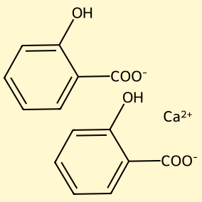 O=C([O-])c1ccccc1O.O=C([O-])c1ccccc1O.[Ca+2]